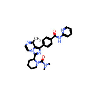 CN(C)C(=O)N1CCCCC1c1nc(-c2ccc(C(=O)Nc3ccccn3)cc2)c2c(C(F)(F)F)nccn12